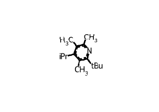 Cc1nc(C(C)(C)C)c(C)c(C(C)C)c1C